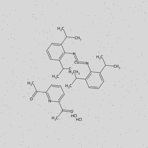 CC(=O)c1cccc(C(C)=O)n1.CC(C)c1cccc(C(C)C)c1[N]=[Co]=[N]c1c(C(C)C)cccc1C(C)C.Cl.Cl